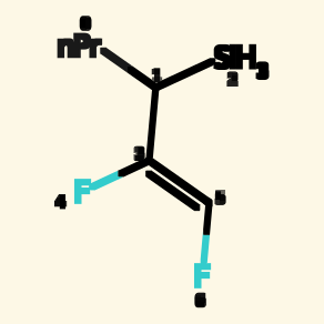 CCCC([SiH3])C(F)=CF